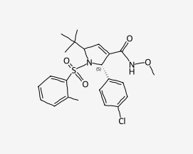 CONC(=O)C1=CC(C(C)(C)C)N(S(=O)(=O)c2ccccc2C)[C@H]1c1ccc(Cl)cc1